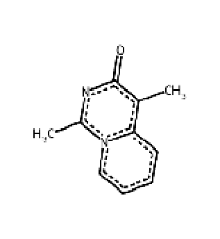 Cc1c(=O)nc(C)n2ccccc12